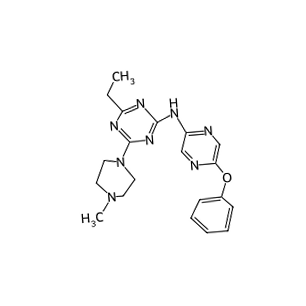 CCc1nc(Nc2cnc(Oc3ccccc3)cn2)nc(N2CCN(C)CC2)n1